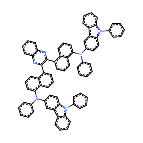 c1ccc(N(c2ccc3c(c2)c2ccccc2n3-c2ccccc2)c2cccc3c(-c4nc5ccccc5nc4-c4cccc5c(N(c6ccccc6)c6ccc7c(c6)c6ccccc6n7-c6ccccc6)cccc45)cccc23)cc1